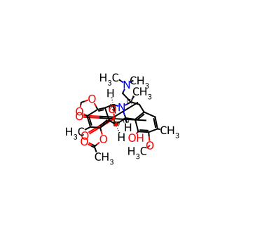 COc1c(C)cc2c(c1O)[C@@H]1[C@@H]3SCC(=O)C(=O)OC[C@@H](c4c5c(c(C)c(OC(C)=O)c43)OCO5)N1[C@](C)(CN(C)C)C2